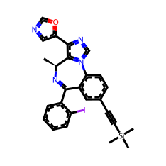 C[C@@H]1N=C(c2ccccc2I)c2cc(C#C[Si](C)(C)C)ccc2-n2cnc(-c3cnco3)c21